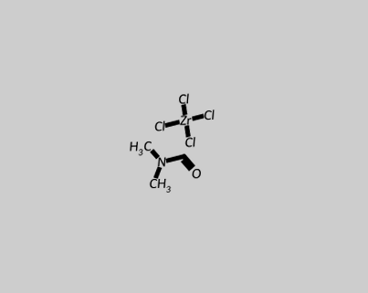 CN(C)C=O.[Cl][Zr]([Cl])([Cl])[Cl]